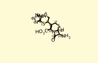 COCC(Sc1nnn[nH]1)C1=C(C(=O)O)N2C(=O)C(N)[C@@H]2SC1